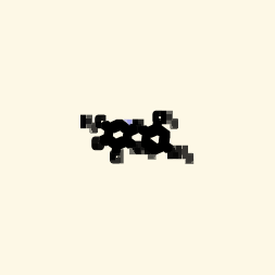 CC1=C/C(=N/c2ccc(N)cc2C)C(N)=C(Cl)C1=O